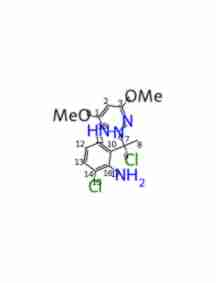 COC1=CC(OC)=NN(C(C)(Cl)c2cccc(Cl)c2N)N1